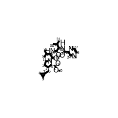 COC(=O)[C@@H]1[C@@H](CC2CC2)CCN1C(=O)[C@@H](NC(=O)[C@@H](NC(=O)c1cnccn1)C(C)C)C(C)C